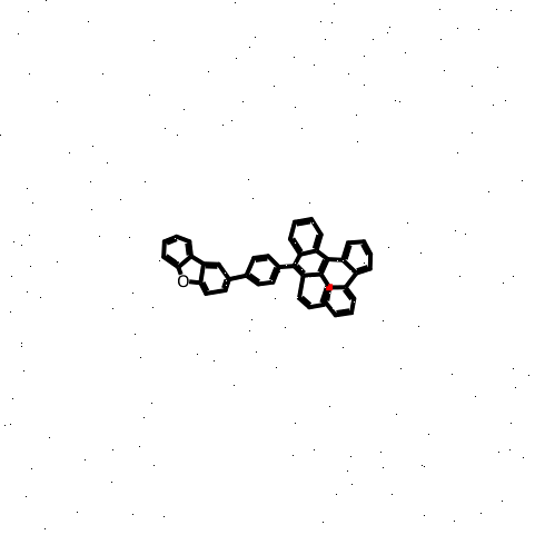 c1ccc(-c2ccccc2-c2c3ccccc3c(-c3ccc(-c4ccc5oc6ccccc6c5c4)cc3)c3ccccc23)cc1